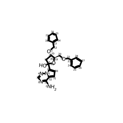 Nc1ncnn2c(C3(O)C[C@H](OCc4ccccc4)[C@@H](COCc4ccccc4)O3)ccc12